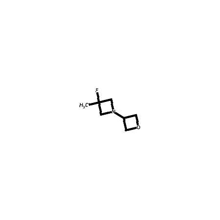 CC1(F)CN(C2COC2)C1